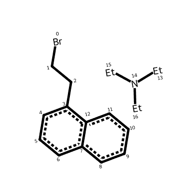 BrCCc1cccc2ccccc12.CCN(CC)CC